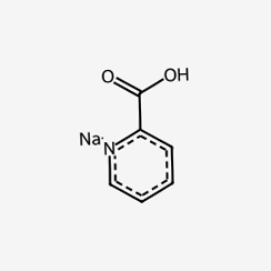 O=C(O)c1ccccn1.[Na]